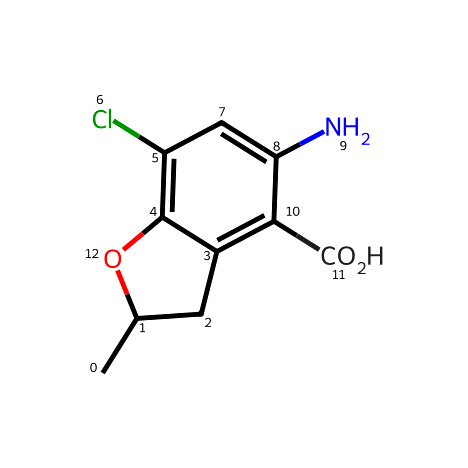 CC1Cc2c(c(Cl)cc(N)c2C(=O)O)O1